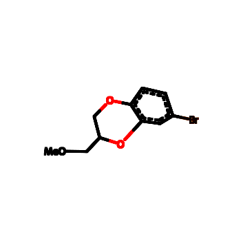 COCC1COc2ccc(Br)cc2O1